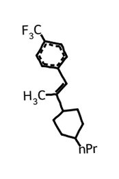 CCCC1CCC(/C(C)=C/c2ccc(C(F)(F)F)cc2)CC1